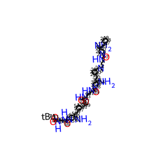 CN(CCCNC(=O)N1CCC(CN)(CCc2ccccc2)CC1)Cc1cccc(CCC2(CN)CCN(C(=O)NCCCNC(=O)OC(C)(C)Cc3cccc(CCC4(CN)CCN(C(=O)NCCNC(=O)OC(C)(C)C)CC4)c3)CC2)c1